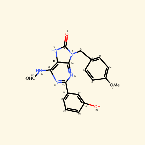 COc1ccc(Cn2c(=O)[nH]c3c(N[C]=O)nc(-c4cccc(O)c4)nc32)cc1